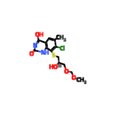 COCOC[C@@H](O)CSc1c(Cl)c(C)cc2c(O)nc(=O)[nH]c12